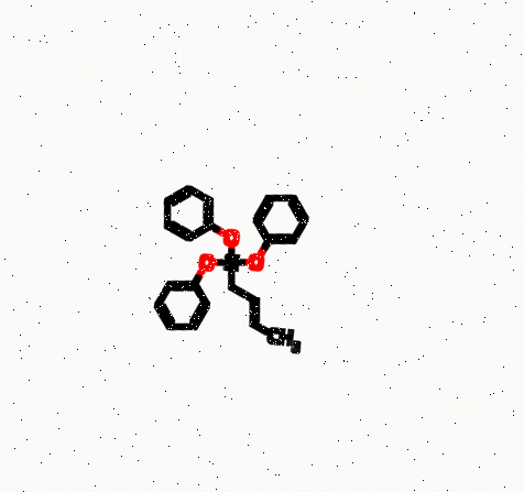 CC=CC[Si](Oc1ccccc1)(Oc1ccccc1)Oc1ccccc1